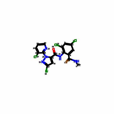 CC(C)NC(=S)c1cc(Cl)cc(Cl)c1NC(=O)c1cc(Br)nn1-c1ncccc1Cl